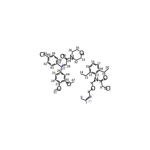 C/C=C\COCN(C(=O)CCl)c1c(CC)cccc1CC.COc1ccc(/C(=C/C(=O)N2CCOCC2)c2ccc(Cl)cc2)cc1OC